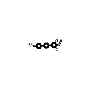 CCc1ccc(-c2ccc(-c3cc(Cl)c(N=C=S)c(Cl)c3)cc2)cc1